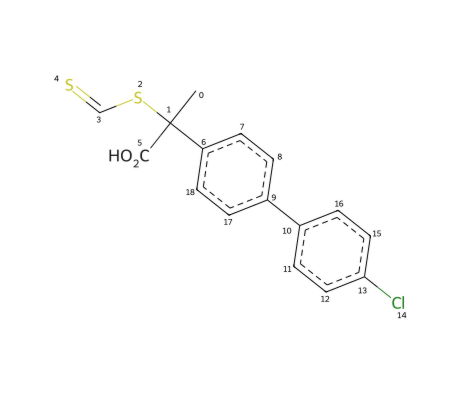 CC(SC=S)(C(=O)O)c1ccc(-c2ccc(Cl)cc2)cc1